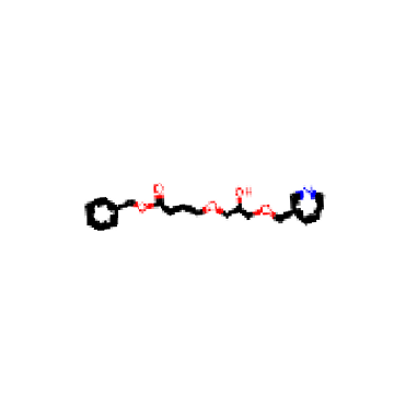 O=C(CCCOCC(O)COCc1cccnc1)OCc1ccccc1